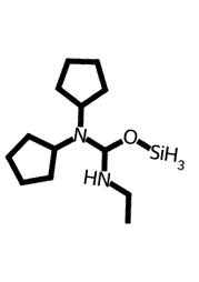 CCNC(O[SiH3])N(C1CCCC1)C1CCCC1